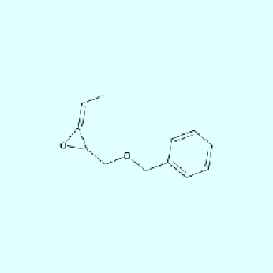 CC=C1OC1COCc1ccccc1